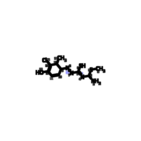 CSC(N)/N=C(S)/N=N/C1C=CC(O)=C(Cl)C1C